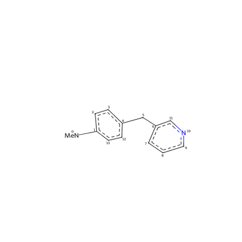 CNc1ccc(Cc2cccnc2)cc1